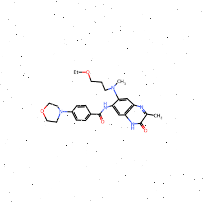 CCOCCCN(C)c1cc2nc(C)c(=O)[nH]c2cc1NC(=O)c1ccc(N2CCOCC2)cc1